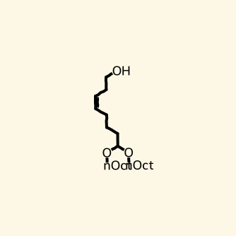 CCCCCCCCOC(CCC/C=C\CCO)OCCCCCCCC